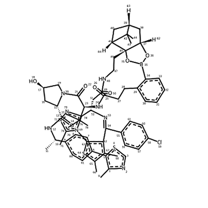 Cc1ncsc1-c1ccc([C@H](C)NC(=O)[C@@H]2C[C@@H](O)CN2C(=O)[C@@H](NC(=O)CCc2ccccc2B2O[C@H]3C[C@H]4C[C@H](C4(C)C)[C@@]3(CCNC(=O)C[C@@H]3N=C(c4ccc(Cl)cc4)c4c(sc(C)c4C)-n4c(C)nnc43)O2)C(C)(C)C)cc1